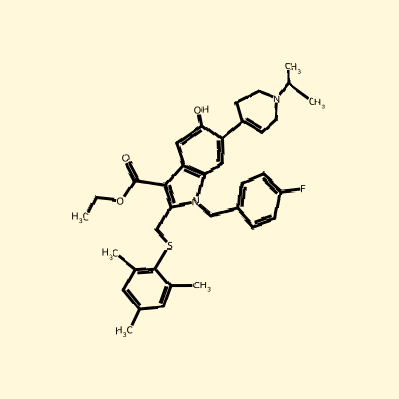 CCOC(=O)c1c(CSc2c(C)cc(C)cc2C)n(Cc2ccc(F)cc2)c2cc(C3=CCN(C(C)C)CC3)c(O)cc12